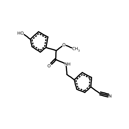 COC(C(=O)NCc1ccc(C#N)cc1)c1ccc(O)cc1